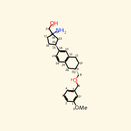 COc1cccc(COC[C@H]2CCc3cc([C@H]4CC[C@](N)(CO)C4)ccc3C2)c1